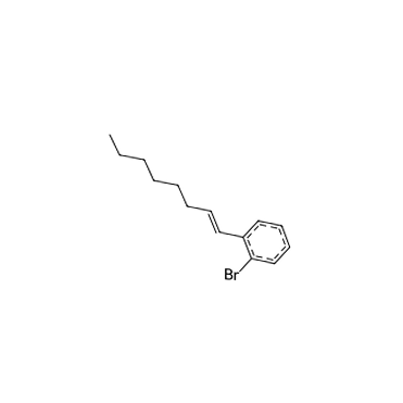 CCCCCCC=Cc1ccccc1Br